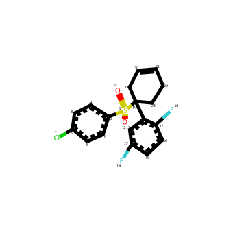 O=S(=O)(c1ccc(Cl)cc1)C1(c2cc(F)ccc2F)CC=CCC1